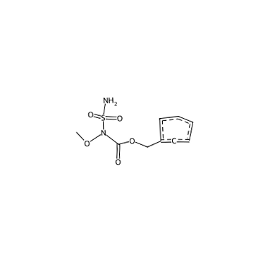 CON(C(=O)OCc1ccccc1)S(N)(=O)=O